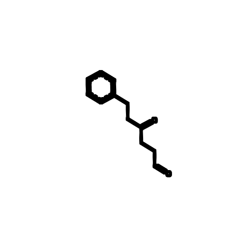 O=CCCC(=O)CCc1ccccc1